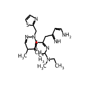 C=C(S/C(CC(=N)/C=C\N)=N\C(C)N(C)CC)C(C)/C=N\N(C=O)Cc1nccs1